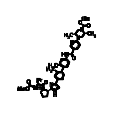 COC(=O)N[C@H](C(=O)N1CCC[C@H]1c1nc(-c2ccc(-c3ccc(NC(=O)c4ccc(N5C[C@H](C)N(C(=O)OC(C)(C)C)C[C@H]5C)nc4)cc3C)c(C)c2)c[nH]1)C(C)C